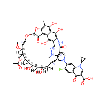 CO[C@H]1/C=C/O[C@@]2(C)Oc3c(C)c(O)c4c(O)c(c(/C=N/N(C)C5CCN(c6cc7c(cc6F)c(=O)c(C(=O)O)cn7C6CC6)C5)c(O)c4c3C2=O)NC(=O)/C(C)=C\C=C\[C@H](C)[C@H](O)[C@@H](C)[C@@H](O)[C@@H](C)[C@H](OC(C)=O)[C@@H]1C